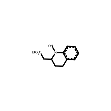 CCOC(=O)CC1CCc2ccccc2N1N=O